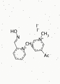 CC(=O)c1ccc[n+](C)c1.C[n+]1ccccc1C=NO.[I-].[I-]